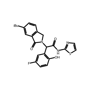 CCC(C)c1ccc2c(c1)C(=O)N(C(C(=O)Nc1nccs1)c1cc(F)ccc1O)C2